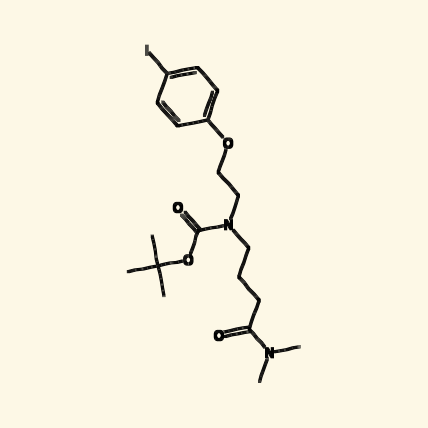 CN(C)C(=O)CCCN(CCOc1ccc(I)cc1)C(=O)OC(C)(C)C